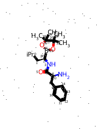 CC(C)C[C@H](NC(=O)[C@@H](N)Cc1ccccc1)B1OC(C)(C)C(C)(C)O1